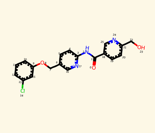 O=C(Nc1ccc(COc2cccc(Cl)c2)cn1)c1ccc(CO)nc1